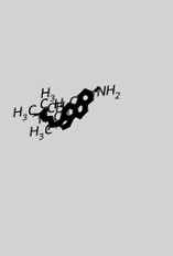 CC[C@H](CC[C@@H](C)[C@H]1CCC2C3CCC4C[C@@H](CN)CC[C@]4(C)C3CC[C@@]21C)C(C)C